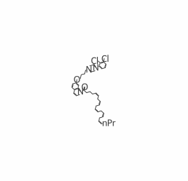 CCC/C=C\C/C=C\C/C=C\C/C=C\C/C=C\CCCC(=O)N1CC=Cc2ccc(OCCCCN3CCN(c4cccc(Cl)c4Cl)CC3)cc21